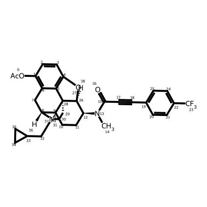 CC(=O)Oc1ccc2c3c1C[C@@H]1[C@@H]4CC[C@H](N(C)C(=O)C#Cc5ccc(C(F)(F)F)cc5)[C@H](O2)[C@]34CCN1CC1CC1